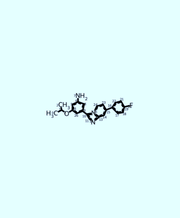 CC(C)Oc1cc(N)cc(-c2cnc3cc(-c4ccc(F)cc4)ccn23)c1